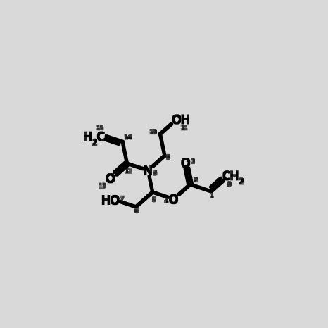 C=CC(=O)OC(CO)N(CCO)C(=O)C=C